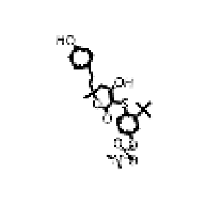 CN(C)S(=O)(=O)Oc1ccc(SC2=C(O)CC(C)(CCc3ccc(O)cc3)OC2=O)c(C(C)(C)C)c1